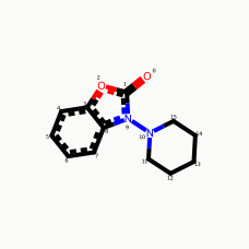 O=c1oc2ccccc2n1N1CCCCC1